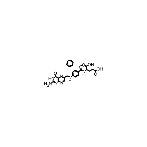 Nc1nc2ncc(CNc3ccc(C(=O)NC(CCC(=O)O)C(=O)O)cc3)nc2c(=O)[nH]1.c1ccccc1